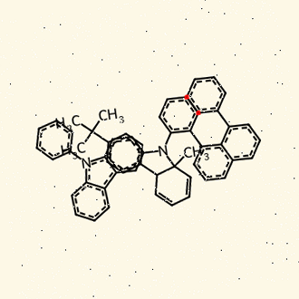 CC(C)(C)c1ccc(C2C=CC=CC2(C)N(c2ccc3c(c2)c2ccccc2n3-c2ccccc2)c2ccccc2-c2cccc3cccc(-c4ccccc4)c23)cc1